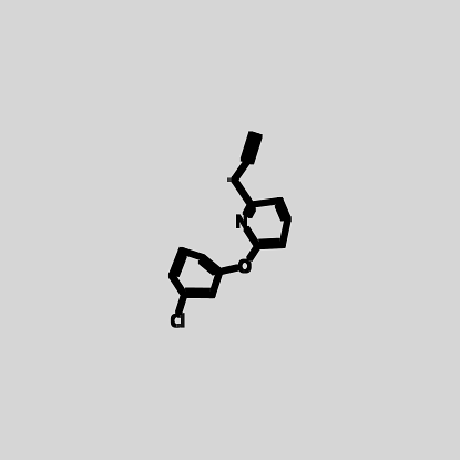 C#C[CH]c1cccc(Oc2cccc(Cl)c2)n1